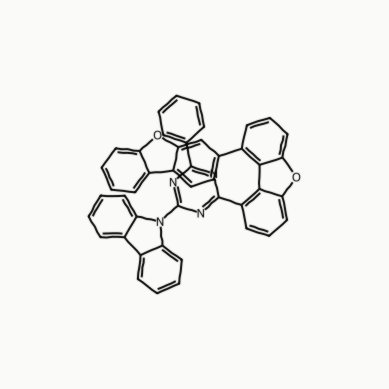 c1ccc(-c2nc(-c3cccc4oc5cccc(-c6ccc7c(c6)oc6ccccc67)c5c34)nc(-n3c4ccccc4c4ccccc43)n2)cc1